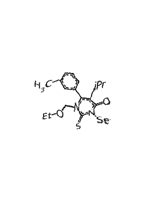 CCOCn1c(-c2cccc(C)c2)c(C(C)C)c(=O)n([Se])c1=S